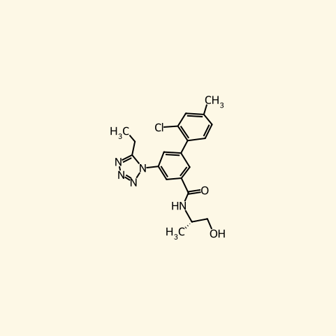 CCc1nnnn1-c1cc(C(=O)N[C@@H](C)CO)cc(-c2ccc(C)cc2Cl)c1